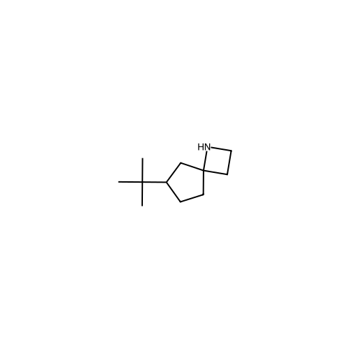 CC(C)(C)C1CCC2(CCN2)C1